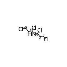 ClCCC(Cl)NC(Cl)CCCl